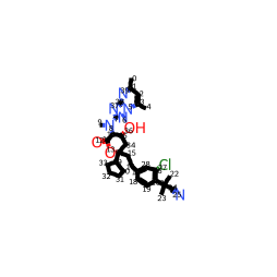 Cc1cc(C)n2nc(N(C)C3C(=O)OC(CCc4ccc(C(C)(C)C#N)c(Cl)c4)(C4CCCC4)CC3O)nc2n1